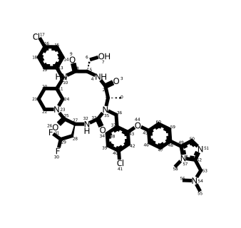 C[C@H]1C(=O)N[C@@H](CO)C(=O)N[C@@]2(Cc3ccc(Cl)cc3)CCCN(C2)C(=O)[C@H](CC(F)F)NC(=O)N1Cc1ccc(Cl)cc1Oc1ccc(-c2cnc(CN(C)C)n2C)cc1